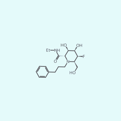 CCNC(=O)[C@@H]1[C@@H](O)[C@@H](O)[C@@H](F)[C@@H](CO)N1CCCc1ccccc1